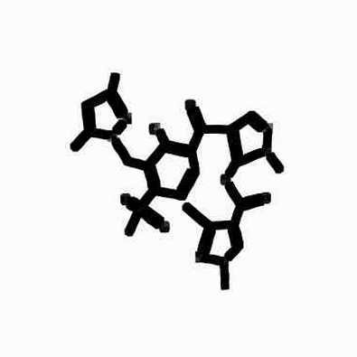 Cc1cc(C)n(Cc2c(S(C)(=O)=O)ccc(C(=O)c3cnn(C)c3OC(=O)c3cn(C)nc3C)c2Cl)n1